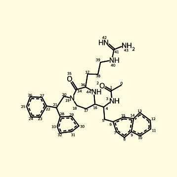 CC(=O)NC(Cc1ccc2ccccc2c1)C1CCN(CC(c2ccccc2)c2ccccc2)C(=O)C(CCCNC(=N)N)N1